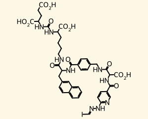 O=C(O)CCC(NC(=O)NC(CCCCNC(=O)C(Cc1ccc2ccccc2c1)NC(=O)c1ccc(CNC(=O)C(NC(=O)c2ccc(N/N=C/I)nc2)C(=O)O)cc1)C(=O)O)C(=O)O